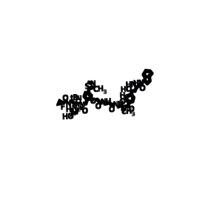 Cc1ncsc1-c1ccc(CNC(=O)[C@@H]2C[C@@H](O)CN2C(=O)[C@@H](NC(=O)C2(F)CC2)C(C)(C)C)c(OCC(=O)NCCC(=O)NCCN(C)C(=O)c2ccc(/C(O)=C/C(=N)C(=O)N[C@@H]3CCc4ccccc43)cc2O)c1